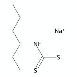 CCCC(CC)NC(=S)[S-].[Na+]